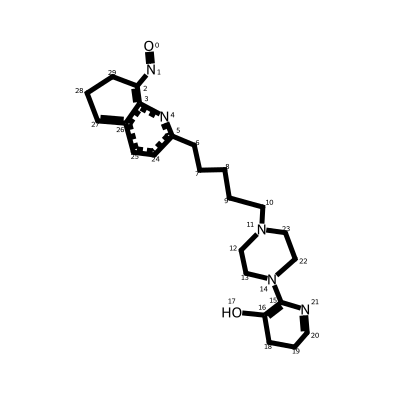 O=NC1=c2nc(CCCCCN3CCN(C4=C(O)CCC=N4)CC3)ccc2=CCC1